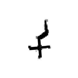 C[Si](C)(C)C=CI